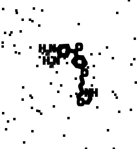 Nc1ccc(C(=O)c2ccc(OCCCC3COCCN3)cc2)cc1N